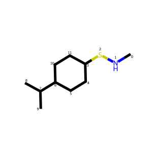 CNSC1CCC(C(C)C)CC1